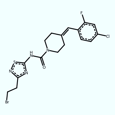 O=C(Nc1nc(CCBr)ns1)N1CCC(=Cc2ccc(Cl)cc2F)CC1